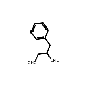 O=[C]CC([C]=O)Cc1ccccc1